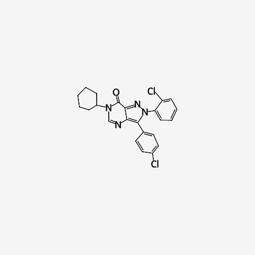 O=c1c2nn(-c3ccccc3Cl)c(-c3ccc(Cl)cc3)c2ncn1C1CCCCC1